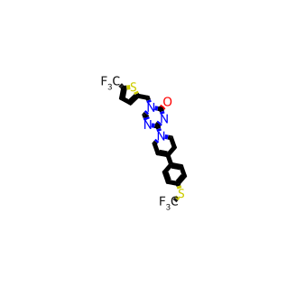 O=c1nc(N2CC=C(c3ccc(SC(F)(F)F)cc3)CC2)ncn1Cc1ccc(C(F)(F)F)s1